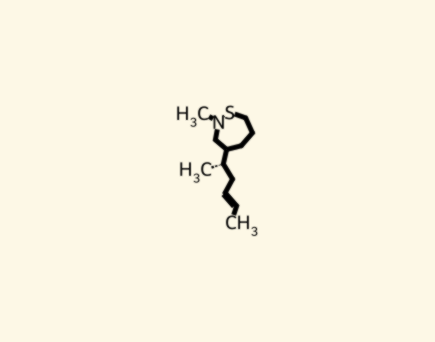 C/C=C/C[C@H](C)C1CCCSN(C)C1